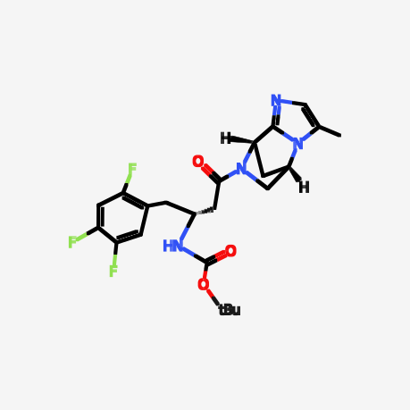 Cc1cnc2n1[C@H]1C[C@@H]2N(C(=O)C[C@@H](Cc2cc(F)c(F)cc2F)NC(=O)OC(C)(C)C)C1